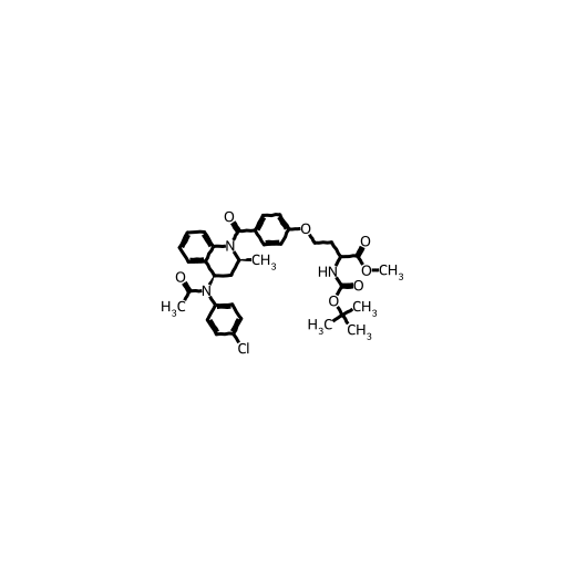 COC(=O)C(CCOc1ccc(C(=O)N2c3ccccc3[C@H](N(C(C)=O)c3ccc(Cl)cc3)C[C@@H]2C)cc1)NC(=O)OC(C)(C)C